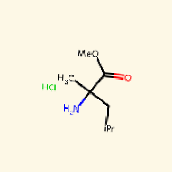 COC(=O)C(C)(N)CC(C)C.Cl